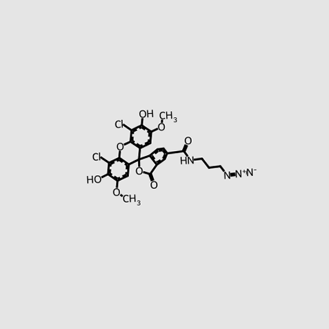 COc1cc2c(c(Cl)c1O)Oc1c(cc(OC)c(O)c1Cl)C21OC(=O)c2cc(C(=O)NCCCN=[N+]=[N-])ccc21